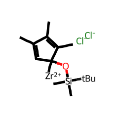 CC1=C[C]([Zr+2])(O[Si](C)(C)C(C)(C)C)C(C)=C1C.[Cl-].[Cl-]